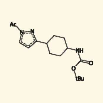 CC(=O)n1ccc(C2CCC(NC(=O)OC(C)(C)C)CC2)n1